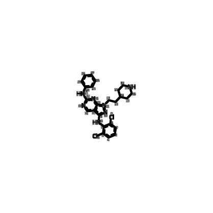 Clc1cccc(Cl)c1Nc1nn(CCC2CCNCC2)c2nc(Nc3ccccc3)ncc12